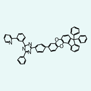 c1ccc(-c2nc(-c3ccc(-c4ccc5c(c4)Oc4ccc6c(c4O5)-c4ccccc4C6(c4ccccc4)c4ccccc4)cc3)nc(-c3cccc(-c4ccccn4)c3)n2)cc1